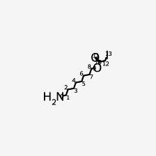 NCCCCCCCCOC(=O)CI